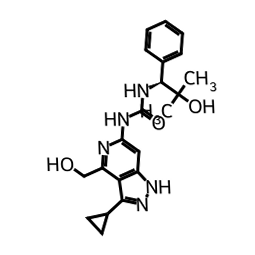 CC(C)(O)[C@@H](NC(=O)Nc1cc2[nH]nc(C3CC3)c2c(CO)n1)c1ccccc1